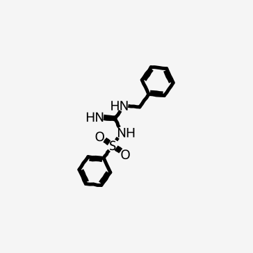 N=C(NCc1ccccc1)NS(=O)(=O)c1ccccc1